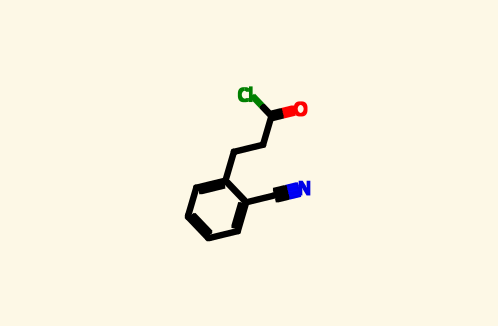 N#Cc1ccccc1CCC(=O)Cl